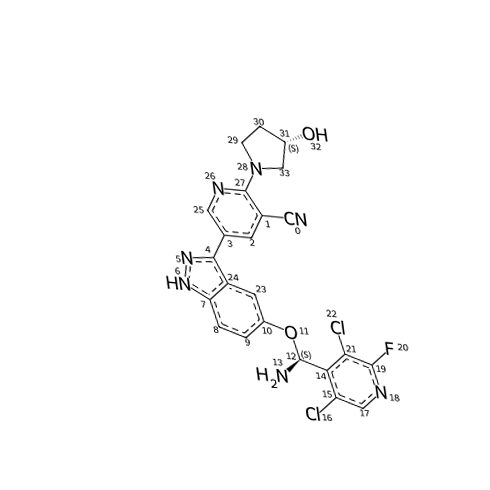 N#Cc1cc(-c2n[nH]c3ccc(O[C@H](N)c4c(Cl)cnc(F)c4Cl)cc23)cnc1N1CC[C@H](O)C1